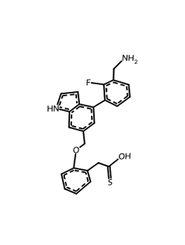 NCc1cccc(-c2cc(COc3ccccc3CC(O)=S)cc3[nH]ccc23)c1F